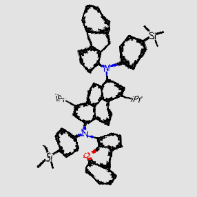 CC(C)c1cc(N(c2ccc([Si](C)(C)C)cc2)c2cccc3c2Cc2ccccc2-3)c2ccc3c(C(C)C)cc(N(c4ccc([Si](C)(C)C)cc4)c4cccc5c4oc4ccccc45)c4ccc1c2c34